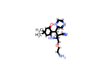 CC1(C)CC(=O)C2=C(C1)NC(COCCN)=C(C#N)C2c1cnccn1